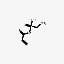 C=CC(=O)OP(=O)(O)CN